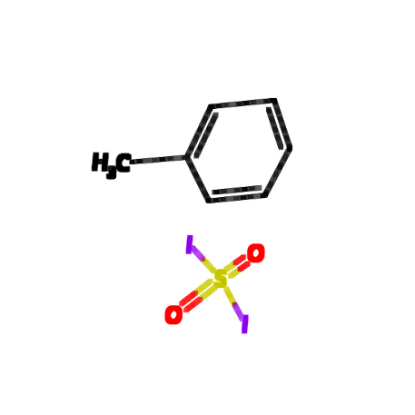 Cc1ccccc1.O=S(=O)(I)I